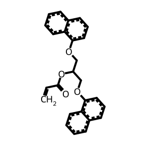 C=CC(=O)OC(COc1cccc2ccccc12)COc1cccc2ccccc12